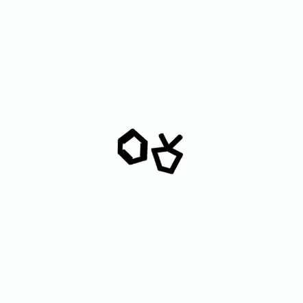 CC1(C)CCCC1.c1ccccc1